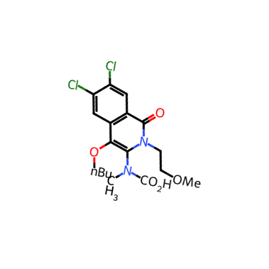 CCCCOc1c(N(C)C(=O)O)n(CCOC)c(=O)c2cc(Cl)c(Cl)cc12